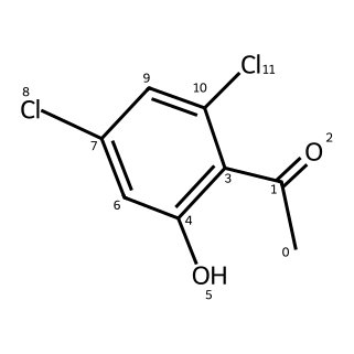 CC(=O)c1c(O)cc(Cl)cc1Cl